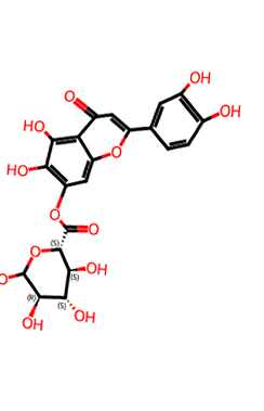 O=C(Oc1cc2oc(-c3ccc(O)c(O)c3)cc(=O)c2c(O)c1O)[C@H]1OC(O)[C@H](O)[C@@H](O)[C@@H]1O